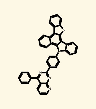 c1ccc(-c2nc(-c3ccc(-n4c5ccccc5c5c6sc7ccccc7c6c6ccccc6c54)cc3)nc3ncccc23)cc1